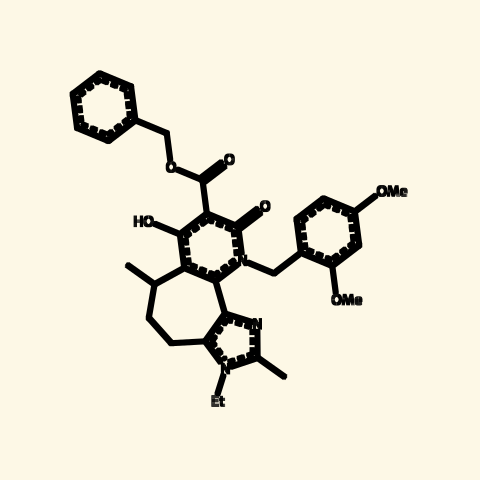 CCn1c(C)nc2c1CCC(C)c1c(O)c(C(=O)OCc3ccccc3)c(=O)n(Cc3ccc(OC)cc3OC)c1-2